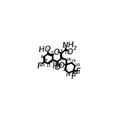 NC(=O)c1oc2c(O)cc(F)cc2c(=O)c1CC1(O)CCC(F)(F)CC1